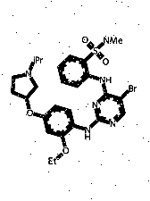 CCOc1cc(OC2CCN(C(C)C)C2)ccc1Nc1ncc(Br)c(Nc2ccccc2S(=O)(=O)NC)n1